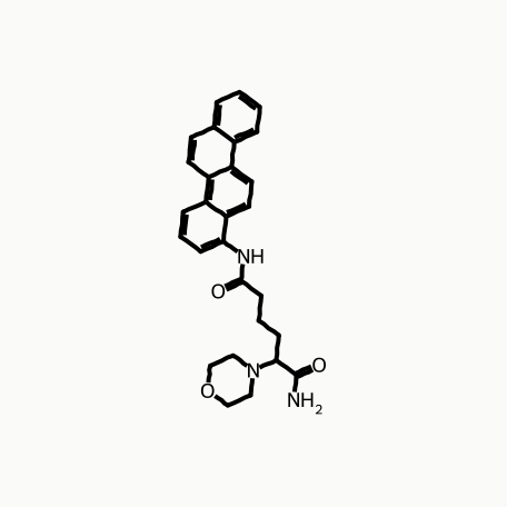 NC(=O)C(CCCC(=O)Nc1cccc2c1ccc1c3ccccc3ccc21)N1CCOCC1